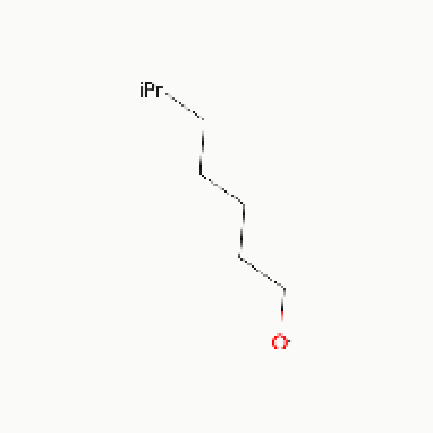 [CH2]C(C)CCCCC[O]